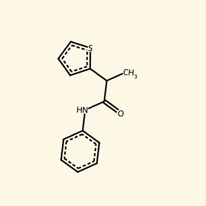 CC(C(=O)Nc1ccccc1)c1cccs1